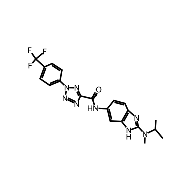 CC(C)N(C)c1nc2ccc(NC(=O)c3nnn(-c4ccc(C(F)(F)F)cc4)n3)cc2[nH]1